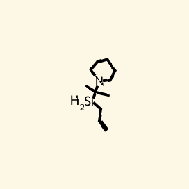 C=CC[SiH2]C(C)(C)N1CCCCC1